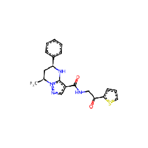 O=C(CNC(=O)c1cnn2c1N[C@H](c1ccccc1)C[C@@H]2C(F)(F)F)c1cccs1